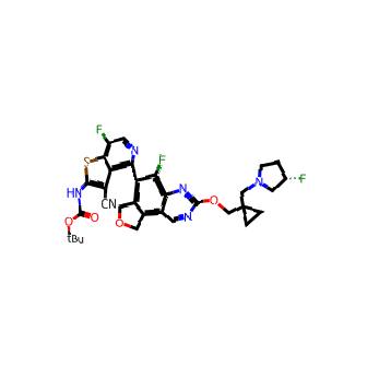 CC(C)(C)OC(=O)Nc1sc2c(F)cnc(-c3c4c(c5cnc(OCC6(CN7CC[C@H](F)C7)CC6)nc5c3F)COC4)c2c1C#N